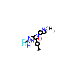 Cc1ccc2cc(-n3cc4cnc(NCC(F)(F)F)nc4c(-c4ccc(C5CC5)cc4)c3=O)ccc2n1